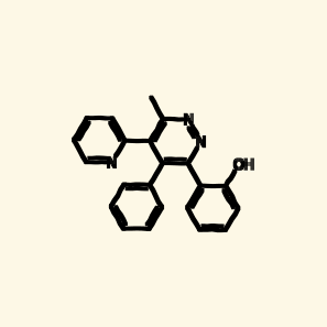 Cc1nnc(-c2ccccc2O)c(-c2ccccc2)c1-c1ccccn1